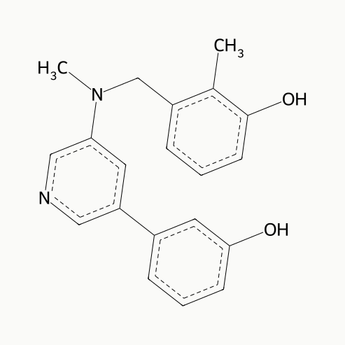 Cc1c(O)cccc1CN(C)c1cncc(-c2cccc(O)c2)c1